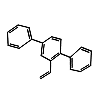 C=Cc1cc(-c2ccccc2)ccc1-c1ccccc1